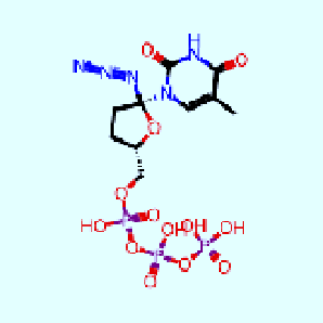 Cc1cn([C@@]2(N=[N+]=[N-])CC[C@@H](COP(=O)(O)OP(=O)(O)OP(=O)(O)O)O2)c(=O)[nH]c1=O